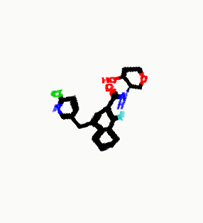 O=C(N[C@H]1COCC[C@@H]1O)c1cc(Cc2ccc(Cl)nc2)c2ccccc2c1F